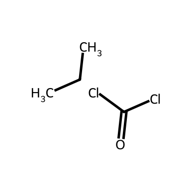 CCC.O=C(Cl)Cl